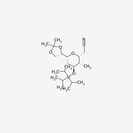 CC(C)[Si](O[C@H]1C[C@H]([C@@H]2COC(C)(C)O2)O[C@H](CC#N)[C@@H]1C)(C(C)C)C(C)C